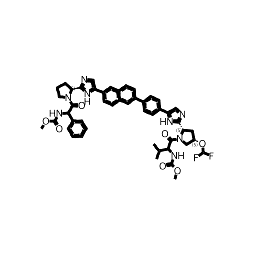 COC(=O)NC(C(=O)N1CCC[C@H]1c1ncc(-c2ccc3cc(-c4ccc(-c5cnc([C@@H]6C[C@H](OC(F)F)CN6C(=O)C(NC(=O)OC)C(C)C)[nH]5)cc4)ccc3c2)[nH]1)c1ccccc1